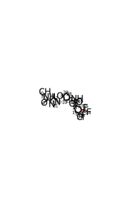 CCNC(=O)c1cc(Oc2ccc(NS(=O)(=O)c3ccc(Cl)c(C(F)(F)F)c3)cc2)ncn1